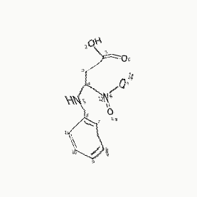 O=C(O)CC(Nc1ccccc1)[N+](=O)[O-]